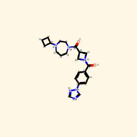 O=C(c1ccc(-n2cncn2)cc1)N1CC(C(=O)N2CCCN(C3CCC3)CC2)C1